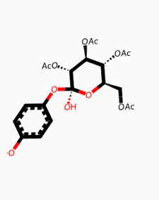 CC(=O)OC[C@H]1O[C@@](O)(Oc2ccc([O])cc2)[C@H](OC(C)=O)[C@@H](OC(C)=O)[C@@H]1OC(C)=O